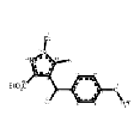 CCCOc1ccc(C(Cl)c2c(C(=O)OCC)nn(CC)c2C)cc1